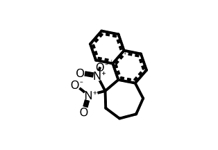 O=[N+]([O-])C1([N+](=O)[O-])CCCCc2ccc3ccccc3c21